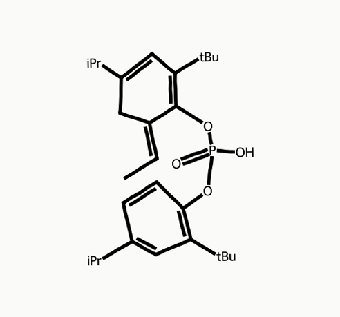 CC=C1CC(C(C)C)=CC(C(C)(C)C)=C1OP(=O)(O)Oc1ccc(C(C)C)cc1C(C)(C)C